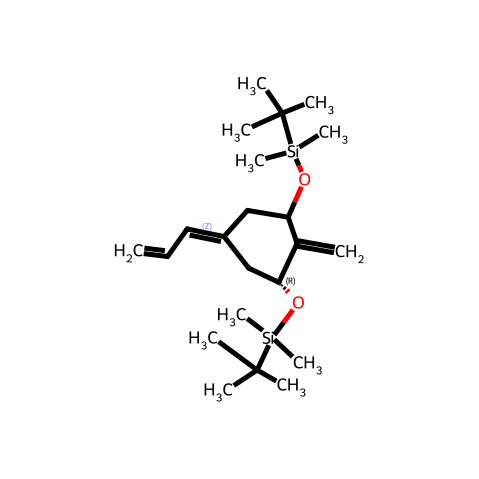 C=C/C=C1/CC(O[Si](C)(C)C(C)(C)C)C(=C)[C@H](O[Si](C)(C)C(C)(C)C)C1